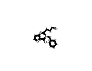 O=c1c2sccc2nc(CCCBr)n1Cc1ccccc1